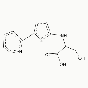 O=C(O)C(CO)Nc1ccc(-c2ccccn2)s1